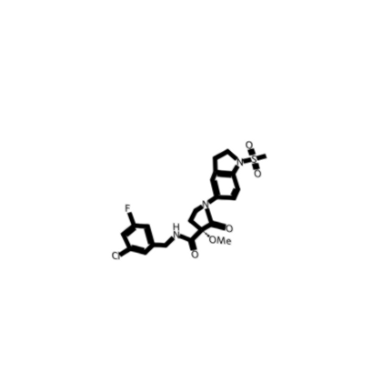 CO[C@]1(C(=O)NCc2cc(F)cc(Cl)c2)CCN(c2ccc3c(c2)CCN3S(C)(=O)=O)C1=O